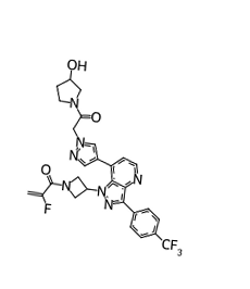 C=C(F)C(=O)N1CC(n2nc(-c3ccc(C(F)(F)F)cc3)c3nccc(-c4cnn(CC(=O)N5CCC(O)C5)c4)c32)C1